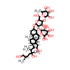 CC1O[C@@H](O[C@@H]2C(CO)O[C@@H](OC3CC[C@@]4(C)C(=CC[C@H]5[C@@H]6CC(O)[C@H]([C@H](C)C(C)(O)CC[C@@H](C)CO)[C@@]6(C)CC[C@@H]54)C3)[C@@H](O[C@@H]3OC(O)[C@H](O)C(O)[C@@H]3O)C2O)[C@@H](O)C(O)[C@H]1O